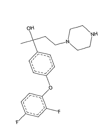 CC(O)(CCN1CCNCC1)c1ccc(Oc2ccc(F)cc2F)cc1